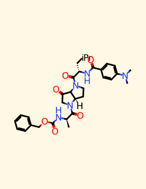 CC(C)C[C@H](NC(=O)c1ccc(N(C)C)cc1)C(=O)N1CC[C@@H]2C1C(=O)CN2C(=O)[C@@H](C)NC(=O)OCc1ccccc1